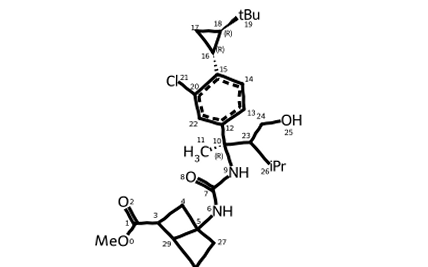 COC(=O)C1CC2(NC(=O)N[C@@](C)(c3ccc([C@@H]4C[C@H]4C(C)(C)C)c(Cl)c3)C(CO)C(C)C)CCC12